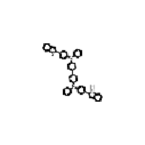 c1ccc(N(c2ccc(-c3ccc(N(c4ccccc4)c4ccc(-c5cc6ccccc6s5)cc4)cc3)cc2)c2ccc(-c3cc4ccccc4[nH]3)cc2)cc1